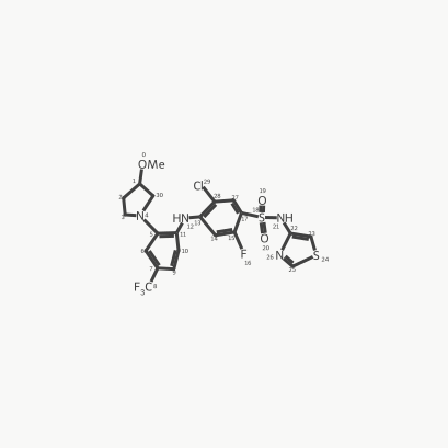 COC1CCN(c2cc(C(F)(F)F)ccc2Nc2cc(F)c(S(=O)(=O)Nc3cscn3)cc2Cl)C1